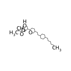 C=C(C)C(=O)OCC(CO)C1CCC(CCC2CCC(CCCCCC)CC2)CO1